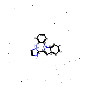 c1ccc(-n2c(-c3ncc[nH]3)cc3ccccc32)cc1